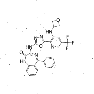 O=C1Nc2ccccc2C(c2ccccc2)=N[C@@H]1Nc1nnc(-c2ncc(C(F)(F)F)cc2NC2COC2)o1